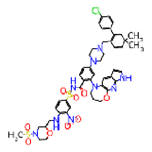 CC1(C)CCC(CN2CCN(c3ccc(C(=O)NS(=O)(=O)c4ccc(NCC5CN(S(C)(=O)=O)CCO5)c([N+](=O)[O-])c4)c(N4CCCOc5nc6[nH]ccc6cc54)c3)CC2)=C(c2ccc(Cl)cc2)C1